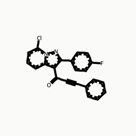 O=C(C#Cc1ccccc1)c1c(-c2ccc(F)cc2)nn2c(Cl)cccc12